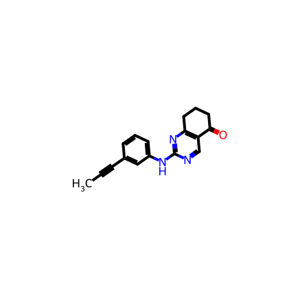 CC#Cc1cccc(Nc2ncc3c(n2)CCCC3=O)c1